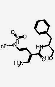 CCCN(C=C/C(=C\N)C(=O)N[C@H](CO)Cc1ccccc1)[SH](=O)=O